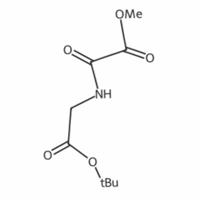 COC(=O)C(=O)NCC(=O)OC(C)(C)C